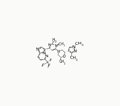 C=N/C(=C\C(=N/C)c1cnc2ccc(C(F)(F)F)nn12)N1C[C@H](C)O[C@@H](c2cn(C)nc2C)C1